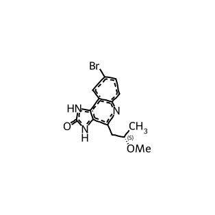 CO[C@@H](C)Cc1nc2ccc(Br)cc2c2[nH]c(=O)[nH]c12